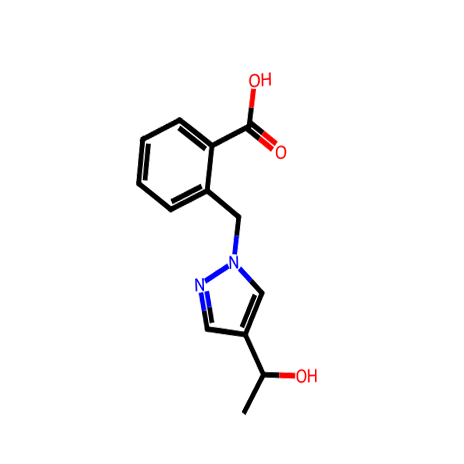 CC(O)c1cnn(Cc2ccccc2C(=O)O)c1